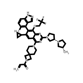 C=CC(=O)N1CC2(CCN(c3nc(N4CC[C@H](N5CC[C@H](C)C5)C4)nc4c(OCC(F)(F)F)c(-c5c(C)ccc6[nH]ncc56)c(C5CC5)cc34)CC2)C1